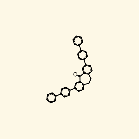 O=C1c2cc(-c3ccc(-c4ccccc4)cc3)ccc2CCc2ccc(-c3ccc(-c4ccccc4)cc3)cc21